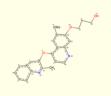 COc1cc2c(Oc3cc4ccccc4nc3C)ccnc2cc1OCCCO